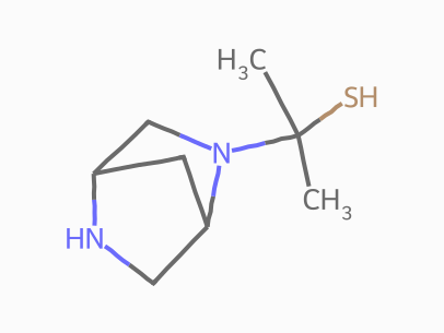 CC(C)(S)N1CC2CC1CN2